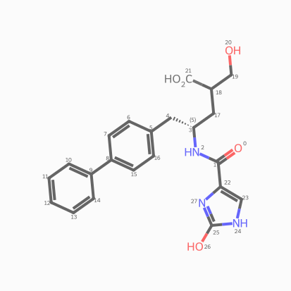 O=C(N[C@H](Cc1ccc(-c2ccccc2)cc1)CC(CO)C(=O)O)c1c[nH]c(O)n1